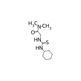 CN(C)C(=O)CNC(=S)NC1CCCCC1